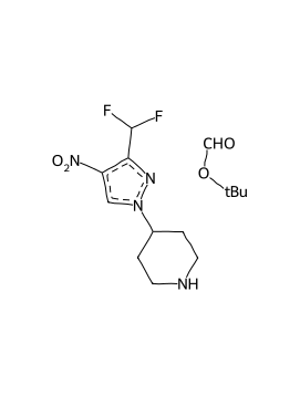 CC(C)(C)OC=O.O=[N+]([O-])c1cn(C2CCNCC2)nc1C(F)F